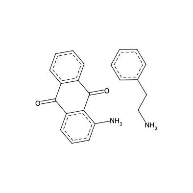 NCCc1ccccc1.Nc1cccc2c1C(=O)c1ccccc1C2=O